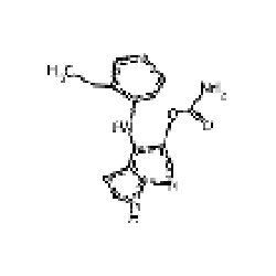 CCc1ccccc1Nc1c(OC(N)=O)cnc2[nH]ccc12